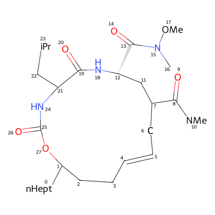 CCCCCCCC1CC/C=C/CC(C(=O)NC)C[C@@H](C(=O)N(C)OC)NC(=O)C(CC(C)C)NC(=O)O1